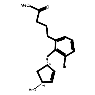 COC(=O)CCCc1cccc(Br)c1C[C@@H]1C=C[C@H](OC(C)=O)C1